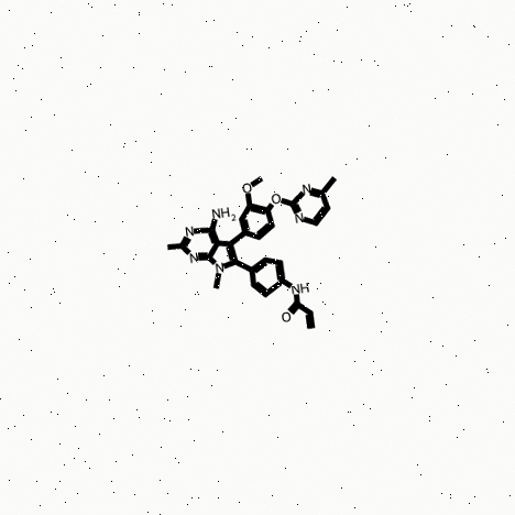 C=CC(=O)Nc1ccc(-c2c(-c3ccc(Oc4nccc(C)n4)c(OC)c3)c3c(N)nc(C)nc3n2C)cc1